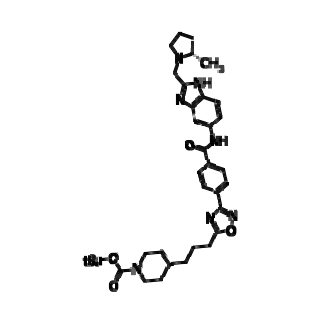 C[C@H]1CCCN1Cc1nc2cc(NC(=O)c3ccc(-c4noc(CCCC5CCN(C(=O)OC(C)(C)C)CC5)n4)cc3)ccc2[nH]1